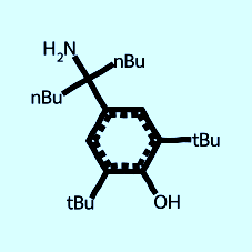 CCCCC(N)(CCCC)c1cc(C(C)(C)C)c(O)c(C(C)(C)C)c1